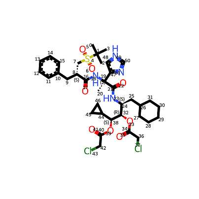 CC(C)(C)S(=O)(=O)C[C@@H](Cc1ccccc1)C(=O)N[C@](C)(C(=O)N[C@@H](CC1CCCCC1)[C@@H](OC(=O)CCl)[C@@H](OC(=O)CCl)C1CC1)c1c[nH]cn1